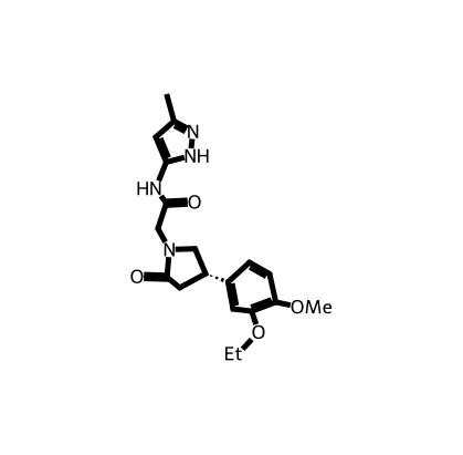 CCOc1cc([C@@H]2CC(=O)N(CC(=O)Nc3cc(C)n[nH]3)C2)ccc1OC